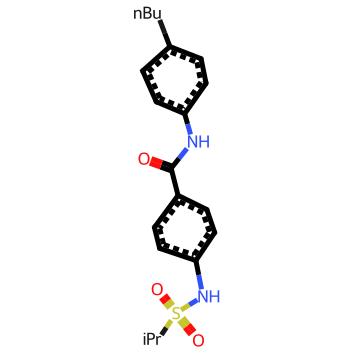 CCCCc1ccc(NC(=O)c2ccc(NS(=O)(=O)C(C)C)cc2)cc1